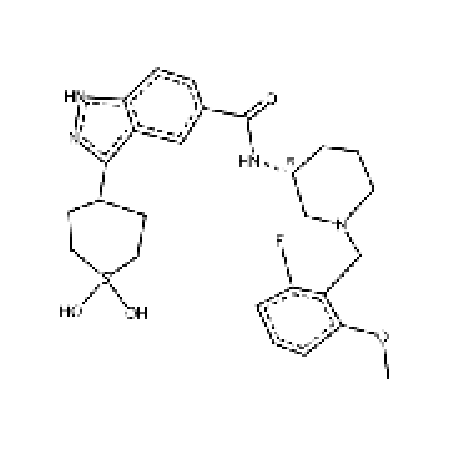 COc1cccc(F)c1CN1CCC[C@@H](NC(=O)c2ccc3[nH]nc(C4CCS(O)(O)CC4)c3c2)C1